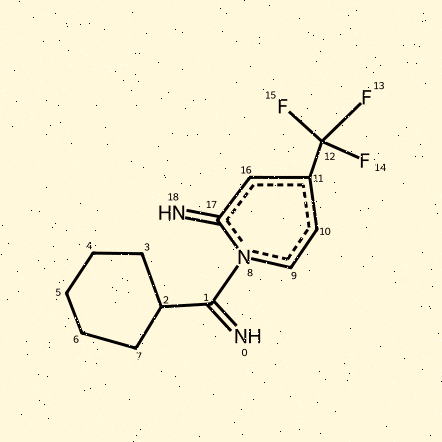 N=C(C1CCCCC1)n1ccc(C(F)(F)F)cc1=N